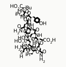 CC[C@H](C)[C@H](NC(=O)[C@H](CC(C)C)NC(=O)[C@H](Cc1ccc(O)cc1)NC(=O)[C@H](CCC(N)=O)NC(=O)[C@H](CC(N)=O)NC(=O)[C@H](CCC(=O)O)NC(=O)[C@H](CCC(=O)O)NC(=O)[C@H](CCC(N)=O)NC(=O)[C@H](CC(C)C)NC(=O)[C@H](CCC(=O)O)NC(=O)[C@@H](N)CS)C(=O)O